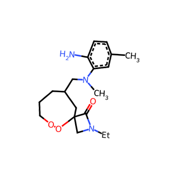 CCN1CC2(CC(CN(C)c3cc(C)ccc3N)CCCOO2)C1=O